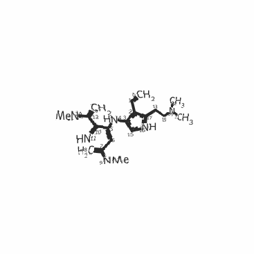 C=Cc1c(N/C(=C/C(=C)NC)C(=N)C(=C)NC)c[nH]c1CCN(C)C